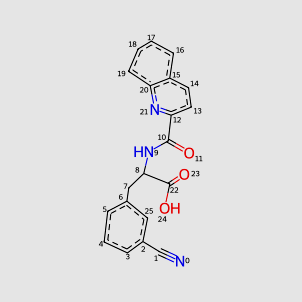 N#Cc1cccc(CC(NC(=O)c2ccc3ccccc3n2)C(=O)O)c1